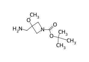 COC1(CN)CN(C(=O)OC(C)(C)C)C1